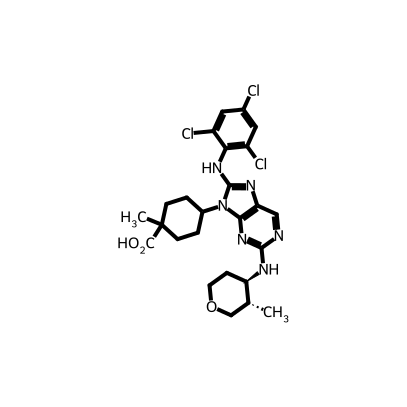 C[C@@H]1COCC[C@H]1Nc1ncc2nc(Nc3c(Cl)cc(Cl)cc3Cl)n(C3CCC(C)(C(=O)O)CC3)c2n1